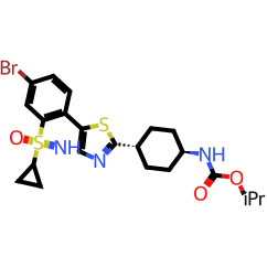 CC(C)OC(=O)N[C@H]1CC[C@H](c2ncc(-c3ccc(Br)cc3S(=N)(=O)C3CC3)s2)CC1